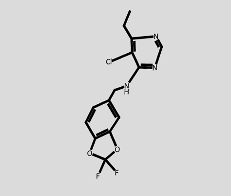 CCc1ncnc(NCc2ccc3c(c2)OC(F)(F)O3)c1Cl